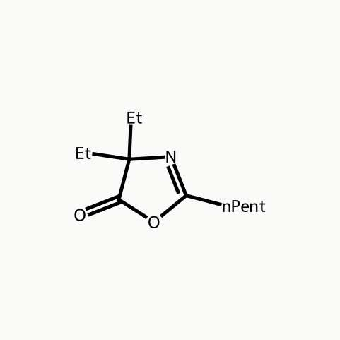 CCCCCC1=NC(CC)(CC)C(=O)O1